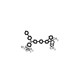 CC1CC2CC(C)C3(c4ccccc4-c4cc(-c5ccc(-c6ccc(N(c7ccc(-c8ccccc8)cc7)c7ccc(S(C)(C)C)cc7)cc6)cc5)ccc43)C(C1)C2